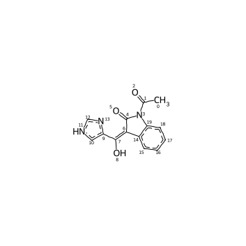 CC(=O)N1C(=O)/C(=C(/O)c2c[nH]cn2)c2ccccc21